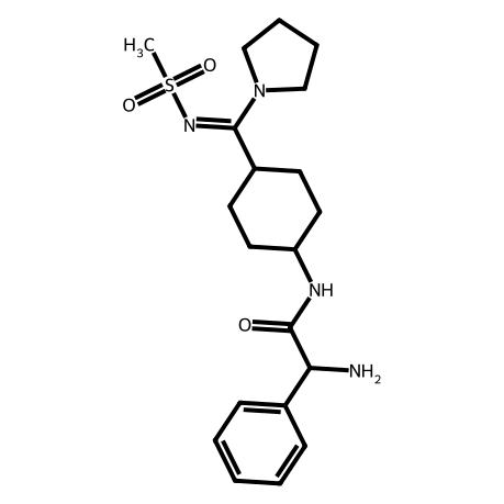 CS(=O)(=O)N=C(C1CCC(NC(=O)C(N)c2ccccc2)CC1)N1CCCC1